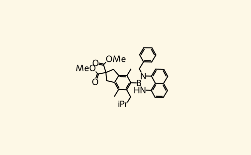 COC(=O)C1(C(=O)OC)Cc2c(C)c(CC(C)C)c(B3Nc4cccc5cccc(c45)N3Cc3ccccc3)c(C)c2C1